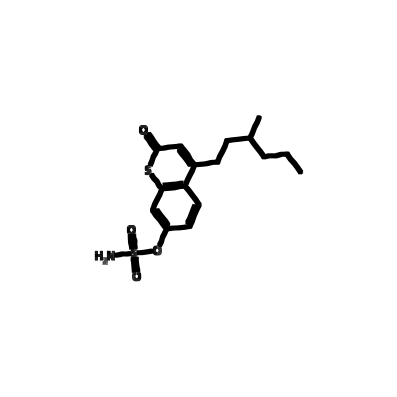 CCCC(C)CCc1cc(=O)sc2cc(OS(N)(=O)=O)ccc12